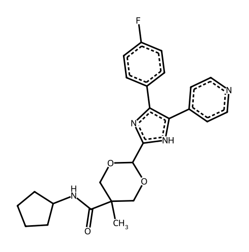 CC1(C(=O)NC2CCCC2)COC(c2nc(-c3ccc(F)cc3)c(-c3ccncc3)[nH]2)OC1